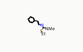 CCSC(=NC=Cc1ccccc1)NC